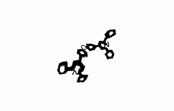 c1cc(-c2cc(C3CCCCC3)nc(C3CC4CCC3C4)c2)ccc1Oc1ccc(-c2cc(C3CCCCC3)nc(C3CC4CCC3C4)c2)cc1